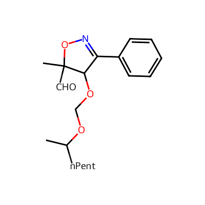 CCCCCC(C)OCOC1C(c2ccccc2)=NOC1(C)C=O